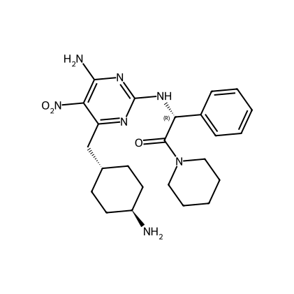 Nc1nc(N[C@@H](C(=O)N2CCCCC2)c2ccccc2)nc(C[C@H]2CC[C@H](N)CC2)c1[N+](=O)[O-]